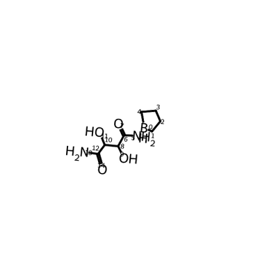 B1CCCC1.NC(=O)C(O)C(O)C(N)=O